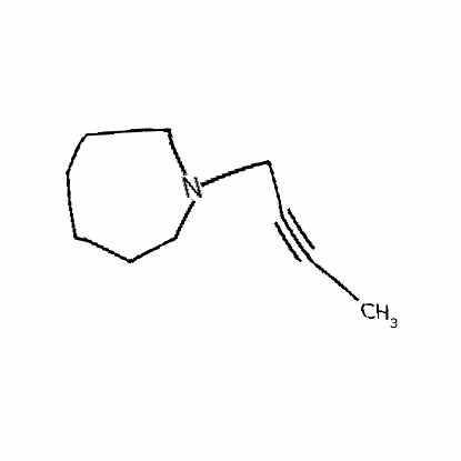 CC#CCN1CCCCCC1